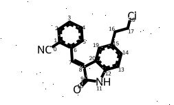 N#Cc1ccccc1C=C1C(=O)Nc2ccc(CCCl)cc21